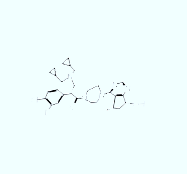 C[C@@H]1C[C@H](O)c2ncnc(N3CCN(C(=O)[C@H](CN(CC4CC4)CC4CC4)c4ccc(Cl)c(F)c4)CC3)c21